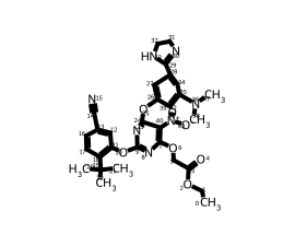 CCOC(=O)COc1nc(Oc2cc(C#N)ccc2C(C)(C)C)nc(Oc2cc(C3=NCCN3)cc(N(C)C)c2)c1[N+](=O)[O-]